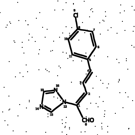 O=CC(=CC=Cc1ccc(Cl)cc1)n1cncn1